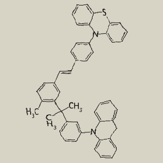 Cc1ccc(/C=C/c2ccc(N3c4ccccc4Sc4ccccc43)cc2)cc1C(C)(C)c1cccc(N2c3ccccc3Cc3ccccc32)c1